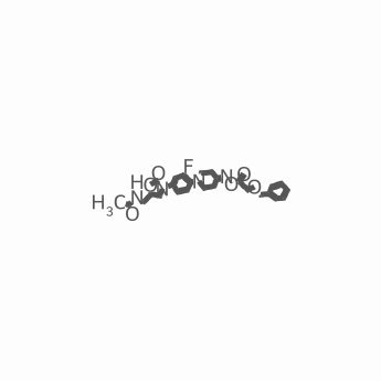 CC(=O)NCC1CN(c2ccc(N3CCC(=NOC(=O)COCc4ccccc4)CC3)c(F)c2)C(=O)O1